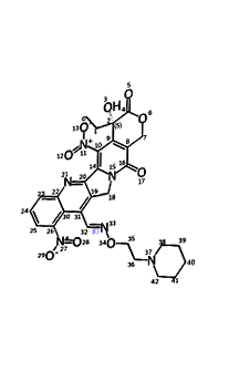 CC[C@@]1(O)C(=O)OCc2c1c([N+](=O)[O-])c1n(c2=O)Cc2c-1nc1cccc([N+](=O)[O-])c1c2/C=N/OCCN1CCCCC1